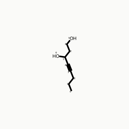 CCCC#CC(O)CCO